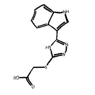 O=C(O)CSc1nnc(-c2c[nH]c3ccccc23)[nH]1